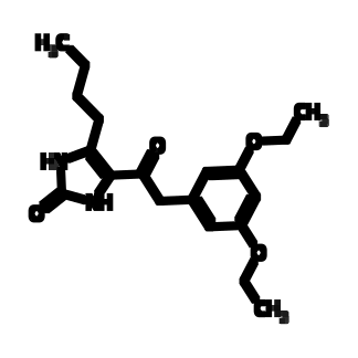 CCCCc1[nH]c(=O)[nH]c1C(=O)Cc1cc(OCC)cc(OCC)c1